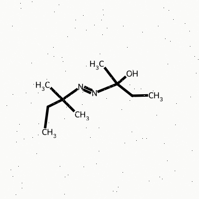 CCC(C)(C)/N=N/C(C)(O)CC